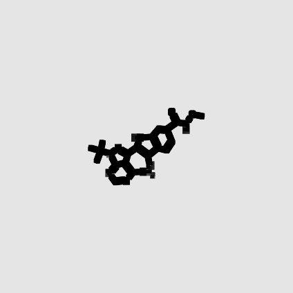 CONC(=O)c1ccc2c(Cl)c(-c3nn(C(C)(C)C)c4ncnc(N)c34)[nH]c2c1